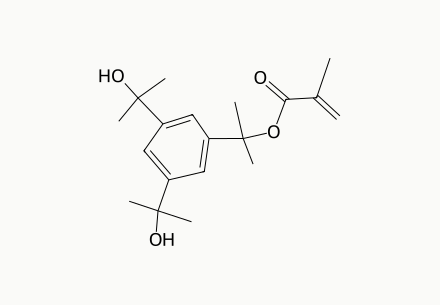 C=C(C)C(=O)OC(C)(C)c1cc(C(C)(C)O)cc(C(C)(C)O)c1